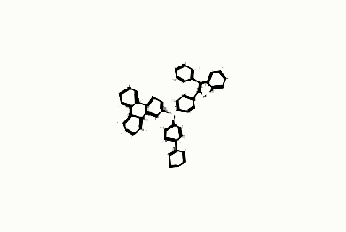 c1ccc(-c2ccc(N(c3ccc(-c4oc5ccccc5c4-c4ccccc4)cc3)c3ccc4c5ccccc5c5ccccc5c4c3)cc2)cc1